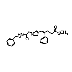 COC(=O)CCC(=Cc1ccn(CC(=O)NCCc2ccccc2)c1)c1ccccc1